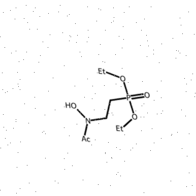 CCOP(=O)(CCN(O)C(C)=O)OCC